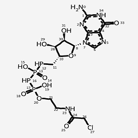 Nc1nc2c(ncn2[C@@H]2O[C@H](CPP(=O)(O)PP(=O)(O)OCCNC(=O)CCl)[C@@H](O)[C@H]2O)c(=O)[nH]1